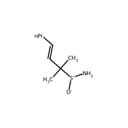 CCCC=CC(C)(C)[S+](N)[O-]